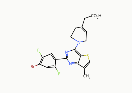 Cc1csc2c(N3CC=C(CC(=O)O)CC3)nc(-c3cc(F)c(Br)cc3F)nc12